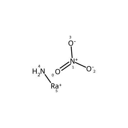 O=[N+]([O-])[O-].[NH2][Ra+]